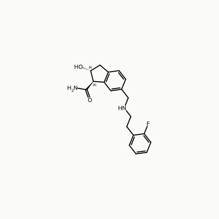 NC(=O)[C@@H]1c2cc(CNCCc3ccccc3F)ccc2C[C@H]1O